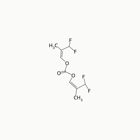 CC(=COC(=O)OC=C(C)C(F)F)C(F)F